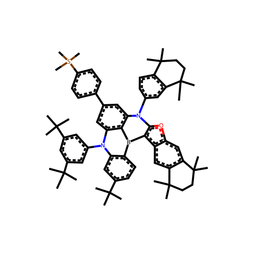 CC(C)(C)c1cc(N2c3cc(C(C)(C)C)ccc3B3c4c2cc(-c2ccc(S(C)(C)C)cc2)cc4N(c2ccc4c(c2)C(C)(C)CCC4(C)C)c2oc4cc5c(cc4c23)C(C)(C)CCC5(C)C)cc(C(C)(C)C)c1